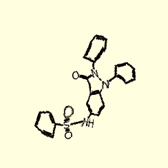 O=c1c2cc(NS(=O)(=O)c3ccccc3)ccc2n(-c2ccccc2)n1-c1ccccc1